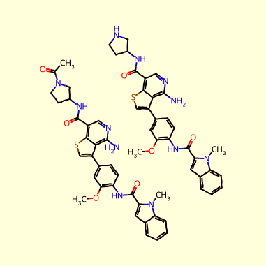 COc1cc(-c2csc3c(C(=O)NC4CCN(C(C)=O)C4)cnc(N)c23)ccc1NC(=O)c1cc2ccccc2n1C.COc1cc(-c2csc3c(C(=O)NC4CCNC4)cnc(N)c23)ccc1NC(=O)c1cc2ccccc2n1C